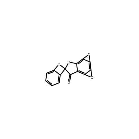 O=C1c2c(c3oc3c3oc23)OC12Oc1ccccc12